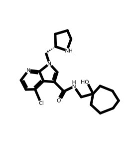 O=C(NCC1(O)CCCCCC1)c1cn(C[C@@H]2CCCN2)c2nccc(Cl)c12